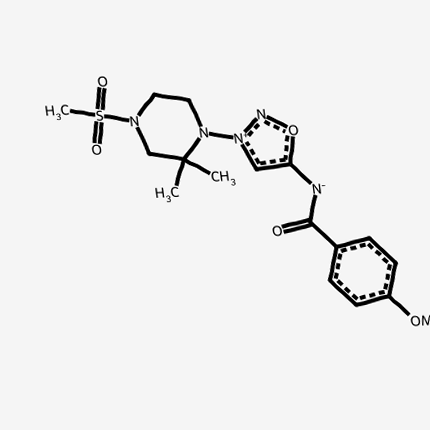 COc1ccc(C(=O)[N-]c2c[n+](N3CCN(S(C)(=O)=O)CC3(C)C)no2)cc1